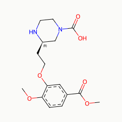 COC(=O)c1ccc(OC)c(OCC[C@@H]2CN(C(=O)O)CCN2)c1